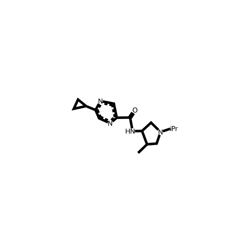 CC1CN(C(C)C)CC1NC(=O)c1cnc(C2CC2)cn1